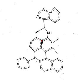 Cc1c(N[C@@H](C)c2cccc3ccccc23)nnc(-c2c(P(c3ccccc3)c3ccccc3)ccc3ccccc23)c1C